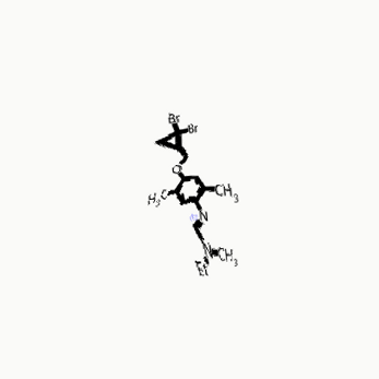 CCN(C)/C=N/c1cc(C)c(OCC2CC2(Br)Br)cc1C